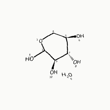 O.OC1OC[C@@H](O)[C@H](O)[C@H]1O